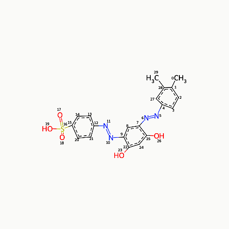 Cc1ccc(N=Nc2cc(N=Nc3ccc(S(=O)(=O)O)cc3)c(O)cc2O)cc1C